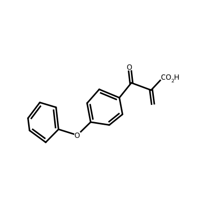 C=C(C(=O)O)C(=O)c1ccc(Oc2ccccc2)cc1